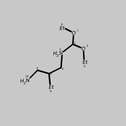 CCOC(OCC)[SiH2]CC(CC)CN